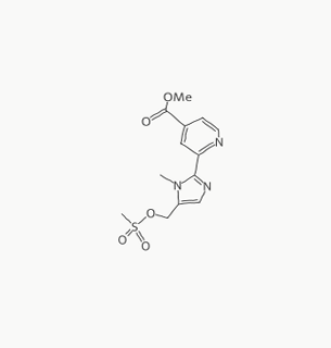 COC(=O)c1ccnc(-c2ncc(COS(C)(=O)=O)n2C)c1